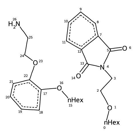 CCCCCCOCCN1C(=O)c2ccccc2C1=O.CCCCCCOc1ccccc1OCCN